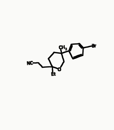 CCC1(CCC#N)CCC(C)(c2ccc(Br)cc2)CO1